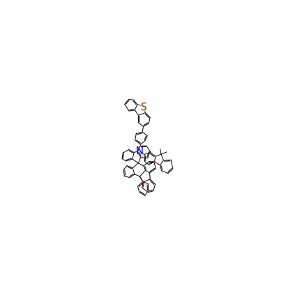 CC1(C)c2ccccc2-c2ccc(N(c3ccc(-c4ccc5sc6ccccc6c5c4)cc3)c3ccccc3C3(c4ccccc4)c4ccccc4C4(c5ccccc5)c5ccccc5-c5cccc3c54)cc21